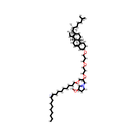 CCCCCCCC/C=C\CCCCCCCCOCC(CN1CCC(OC)C1)OCCCOCCCO[C@H]1CC[C@@]2(C)C(=CC[C@H]3[C@@H]4CC[C@H]([C@H](C)CCCC(C)C)[C@@]4(C)CC[C@@H]32)C1